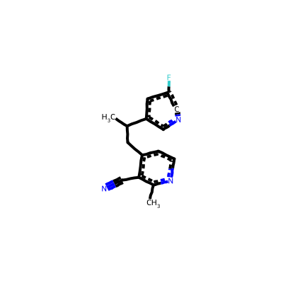 Cc1nccc(CC(C)c2cncc(F)c2)c1C#N